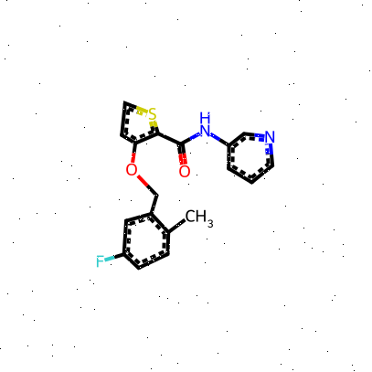 Cc1ccc(F)cc1COc1ccsc1C(=O)Nc1cccnc1